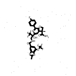 Cc1nc2c(OC(F)(F)F)cc(C(=O)NC[C@](O)(c3cc4c(c(-c5ccc(F)cc5)n3)OC[C@]4(C)C(N)=O)C(F)(F)F)cc2s1